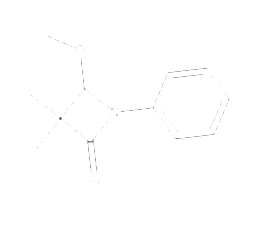 COC1N(c2ccccc2)C(=O)C1(C)C